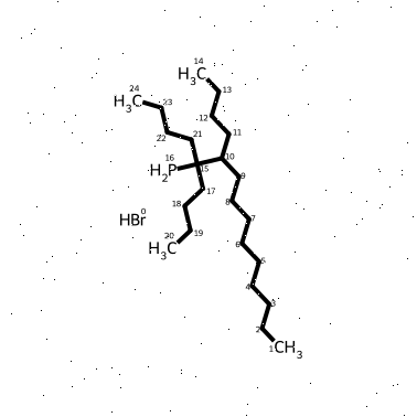 Br.CCCCCCCCCC(CCCC)C(P)(CCCC)CCCC